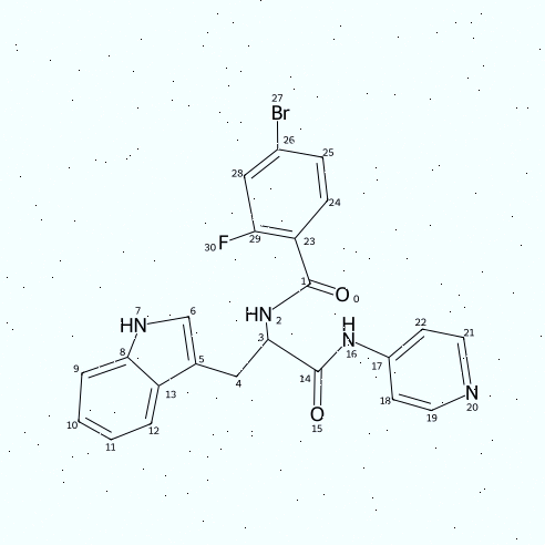 O=C(NC(Cc1c[nH]c2ccccc12)C(=O)Nc1ccncc1)c1ccc(Br)cc1F